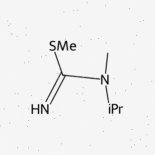 CSC(=N)N(C)C(C)C